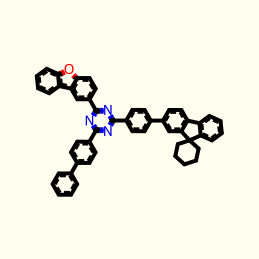 c1ccc(-c2ccc(-c3nc(-c4ccc(-c5ccc6c(c5)C5(CCCCC5)c5ccccc5-6)cc4)nc(-c4ccc5oc6ccccc6c5c4)n3)cc2)cc1